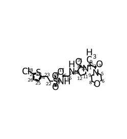 C[C@@H](C(=O)N1CCOCC1)N1CC[C@H](NCC(=O)NS(=O)(=O)CCc2ccc(Cl)s2)C1=O